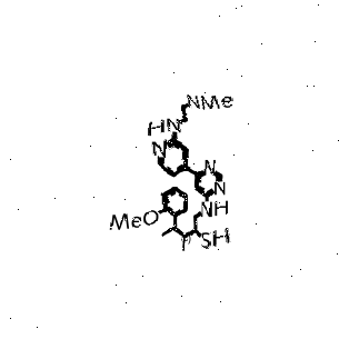 CNCCNc1cc(-c2cc(NCC(S)[C@@H](C)C(C)c3ccccc3OC)ncn2)ccn1